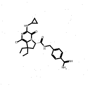 CCC1(CC)C[C@@H](C(=O)NCc2ccc(C(=N)N)cc2)n2c1c(Cl)nc(NC1CC1)c2=O